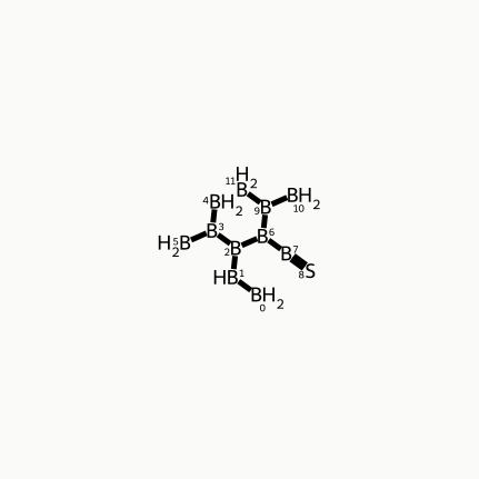 BBB(B(B)B)B(B=S)B(B)B